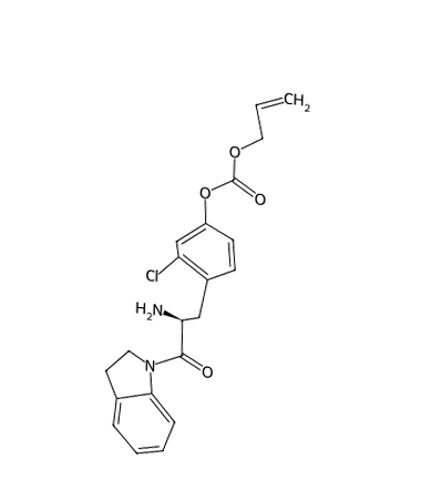 C=CCOC(=O)Oc1ccc(C[C@H](N)C(=O)N2CCc3ccccc32)c(Cl)c1